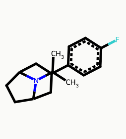 CC(C)N1C2CCC1CC(c1ccc(F)cc1)C2